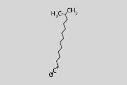 CC(C)CCCCCCCCCCC=C=O